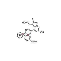 COc1ccc(CN2C3CC2CN(c2ccc(-c4cc(O)cn5nc(F)c(C=NO)c45)cn2)C3)cn1